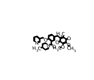 COC1=C(OC)C(=O)C(Cc2ccc(OCc3cccnc3)c(C(=O)N3CCC(C)CC3)c2)=C(C)C1=O